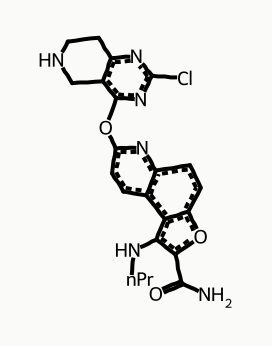 CCCNc1c(C(N)=O)oc2ccc3nc(Oc4nc(Cl)nc5c4CNCC5)ccc3c12